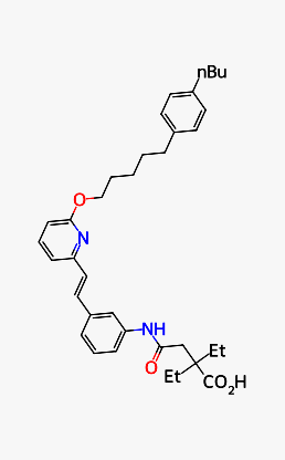 CCCCc1ccc(CCCCCOc2cccc(C=Cc3cccc(NC(=O)CC(CC)(CC)C(=O)O)c3)n2)cc1